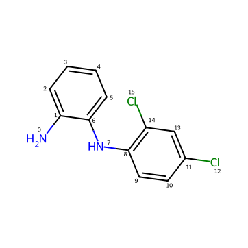 Nc1ccccc1Nc1ccc(Cl)cc1Cl